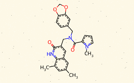 Cc1cc(C)c2[nH]c(=O)c(CN(Cc3ccc4c(c3)OCO4)C(=O)c3cccn3C)cc2c1